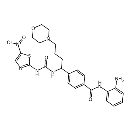 Nc1ccccc1NC(=O)c1ccc(C(CCCN2CCOCC2)NC(=O)Nc2ncc([N+](=O)[O-])s2)cc1